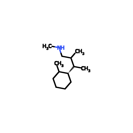 CNCC(C)C(C)[C@@H]1CCCCC1C